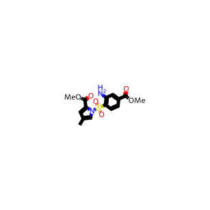 COC(=O)c1ccc(S(=O)(=O)n2cc(C)cc2C(=O)OC)c(N)c1